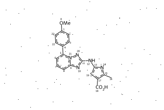 COc1ccc(-c2cccc3nc(Nc4nc(C)c(C(=O)O)s4)nn23)cc1